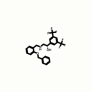 O[C@H](CNCc1ccccc1OCc1ccccc1)c1cc(C(F)(F)F)cc(C(F)(F)F)c1